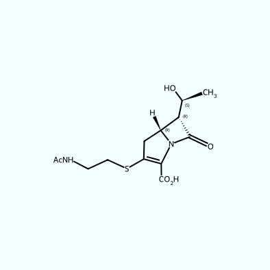 CC(=O)NCCSC1=C(C(=O)O)N2C(=O)[C@@H]([C@H](C)O)[C@H]2C1